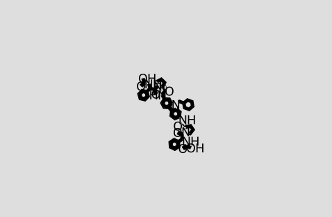 O=C(O)NC(C(=O)N1CCC[C@H]1C(=O)Nc1ccc2c3ccc(NC(=O)[C@@H]4CCCN4C(=O)C(NC(=O)O)c4ccccc4)cc3n(CC3CCCCC3)c2c1)c1ccccc1